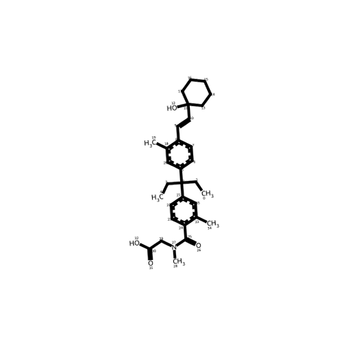 CCC(CC)(c1ccc(/C=C/C2(O)CCCCC2)c(C)c1)c1ccc(C(=O)N(C)CC(=O)O)c(C)c1